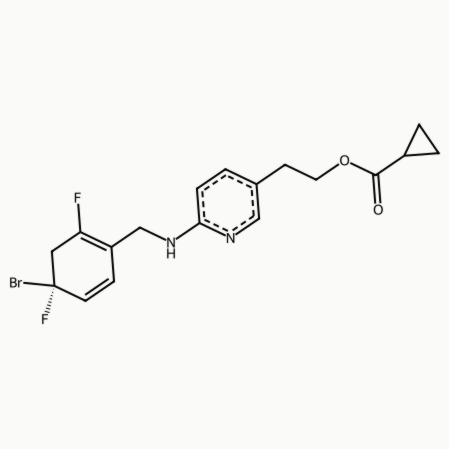 O=C(OCCc1ccc(NCC2=C(F)C[C@](F)(Br)C=C2)nc1)C1CC1